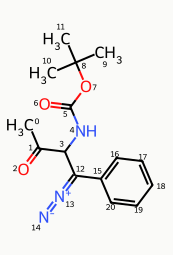 CC(=O)C(NC(=O)OC(C)(C)C)C(=[N+]=[N-])c1ccccc1